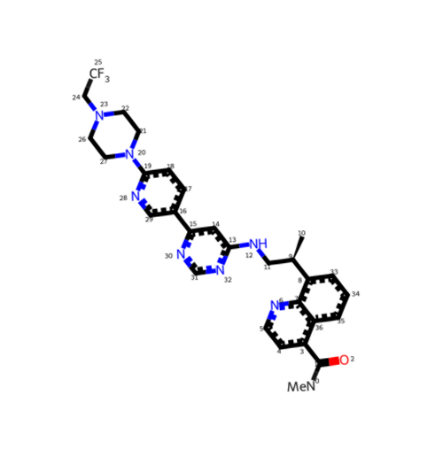 CNC(=O)c1ccnc2c([C@H](C)CNc3cc(-c4ccc(N5CCN(CC(F)(F)F)CC5)nc4)ncn3)cccc12